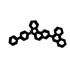 C1=CC2c3c(ccc4cc(-c5cc6c(c7c5C=CCC7)CCC=C6)ccc34)N(c3ccc(-c4ccccc4)cc3)C2C=C1